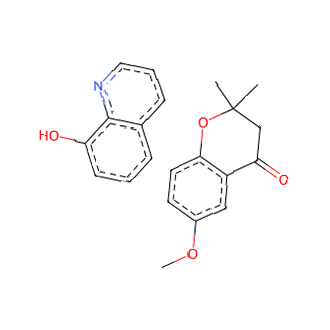 COc1ccc2c(c1)C(=O)CC(C)(C)O2.Oc1cccc2cccnc12